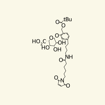 CC(C)(C)C(=O)OCc1ccc(CCCCNC(=O)CCCCCN2C(=O)C=CC2=O)cc1O[C@H]1O[C@@H](C(=O)O)[C@H](O)[C@@H](O)[C@@H]1O